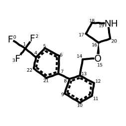 FC(F)(F)c1ccc(-c2ccccc2CO[C@H]2CCNC2)cc1